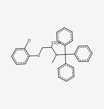 CN(C(COc1ccccc1Cl)C(=O)O)C(c1ccccc1)(c1ccccc1)c1ccccc1